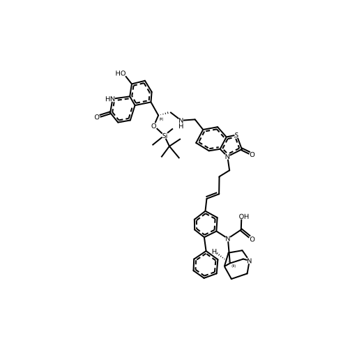 CC(C)(C)[Si](C)(C)O[C@@H](CNCc1ccc2c(c1)sc(=O)n2CCC=Cc1ccc(-c2ccccc2)c(N(C(=O)O)[C@H]2CN3CCC2CC3)c1)c1ccc(O)c2[nH]c(=O)ccc12